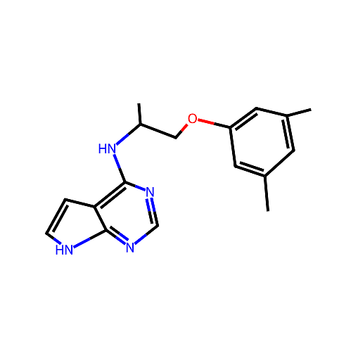 Cc1cc(C)cc(OCC(C)Nc2ncnc3[nH]ccc23)c1